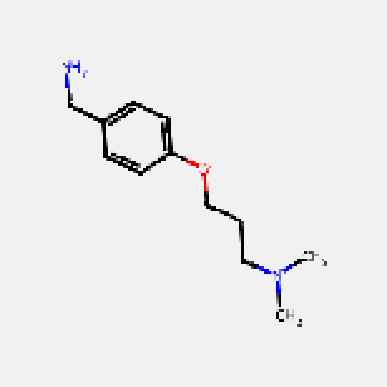 CN(C)CCCOc1ccc(CN)cc1